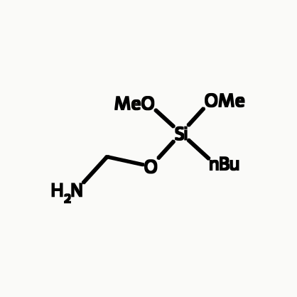 CCCC[Si](OC)(OC)OCN